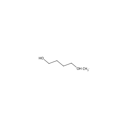 OCCCCO.[CH3]